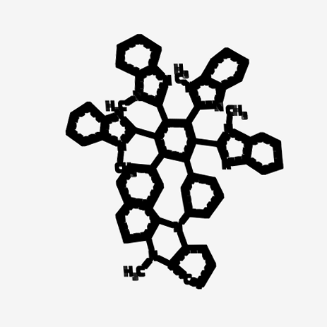 CN1c2ccccc2N(c2cccc(-c3c(-c4ccccc4)c(-c4nc5ccccc5n4C)c(-c4nc5ccccc5n4C)c(-c4nc5ccccc5n4C)c3-c3nc4ccccc4n3C)c2)c2ccccc21